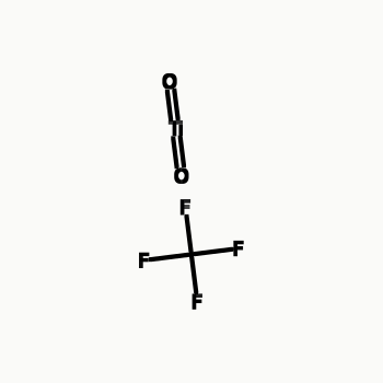 FC(F)(F)F.[O]=[Ti]=[O]